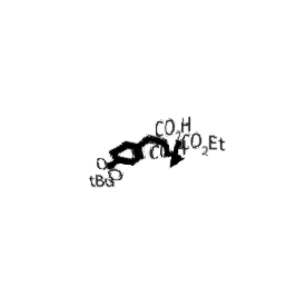 CCOC(=O)CC1(CCC(Cc2ccc(C(=O)OC(C)(C)C)cc2)(C(=O)O)C(=O)O)CC1